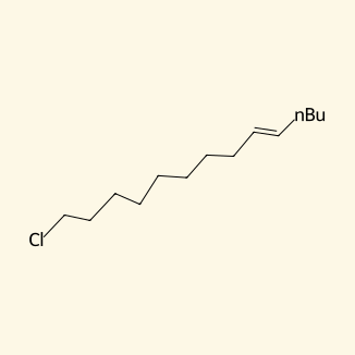 CCCCC=CCCCCCCCCCl